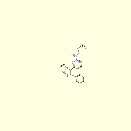 CCCNc1nccc(-c2c(-c3ccc(F)cc3)nc3occn23)n1